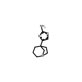 Nc1nc(C23CCCN(CC2)C3)cs1